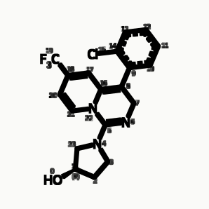 O[C@@H]1CCN(C2=NCC(c3ccccc3Cl)=C3C=C(C(F)(F)F)C=CN23)C1